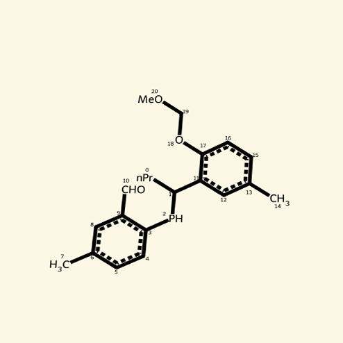 CCCC(Pc1ccc(C)cc1C=O)c1cc(C)ccc1OCOC